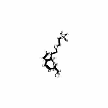 C[Si](C)(C)CCOCn1ccc2ccc(CCl)nc21